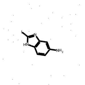 Nc1ccc2[nH]c(I)nc2c1